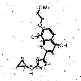 COCCOc1ccc2c(O)cc(-c3coc(NC4CC4)n3)nc2c1Cl